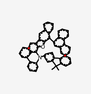 CC1(C)c2ccccc2-c2ccc(N(c3ccccc3-c3ccccc3)c3cccc4c3oc3c(-c5cc6ccccc6c6ccccc56)c5ccccc5cc34)cc21